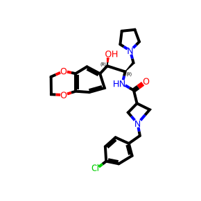 O=C(N[C@H](CN1CCCC1)[C@H](O)c1ccc2c(c1)OCCO2)C1CN(Cc2ccc(Cl)cc2)C1